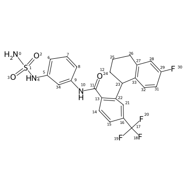 NS(=O)(=O)Nc1cccc(NC(=O)c2ccc(C(F)(F)F)cc2C2CCCc3cc(F)ccc32)c1